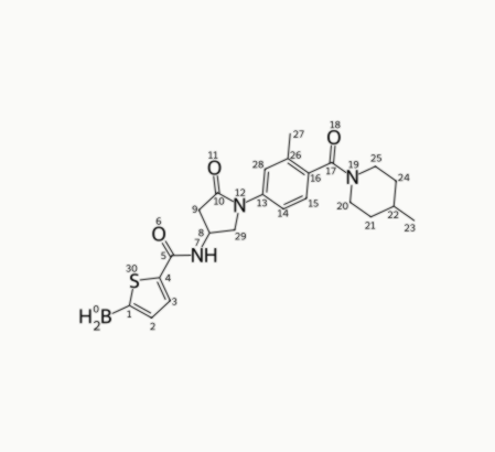 Bc1ccc(C(=O)NC2CC(=O)N(c3ccc(C(=O)N4CCC(C)CC4)c(C)c3)C2)s1